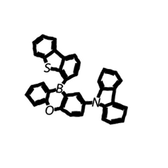 c1ccc2c(c1)Oc1ccc(-n3c4ccccc4c4ccccc43)cc1B2c1cccc2c1sc1ccccc12